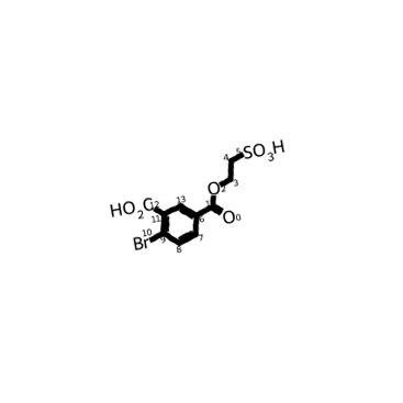 O=C(OCCS(=O)(=O)O)c1ccc(Br)c(C(=O)O)c1